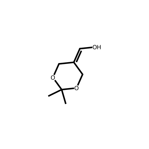 CC1(C)OCC(=CO)CO1